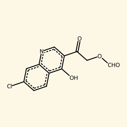 O=COCC(=O)c1cnc2cc(Cl)ccc2c1O